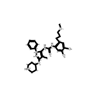 COCCCc1cc(Cl)c(Cl)cc1NC(=O)Nc1c(C)c(OC2CCNCC2)nn1-c1ccccc1